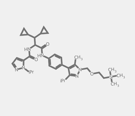 Cc1c(-c2ccc(NC(=O)C(NC(=O)c3ccnn3C(C)C)C(C3CC3)C3CC3)cc2)c(C(C)C)nn1COCC[Si](C)(C)C